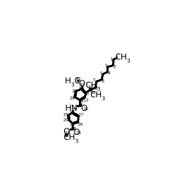 CCCCCCCCCC(C)(C)c1cc(C(=O)Nc2ccc(C(=O)OC)cc2)ccc1OC